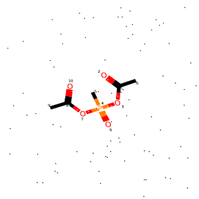 CC(=O)OP(C)(=O)OC(C)=O